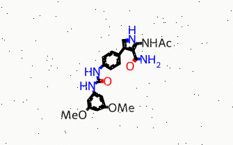 COc1cc(NC(=O)Nc2ccc(-c3c[nH]c(NC(C)=O)c3C(N)=O)cc2)cc(OC)c1